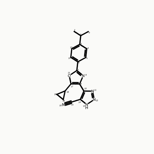 CC(C)c1ccc(-c2nc(-c3nn[nH]c3C#N)c(C3CC3)o2)cc1